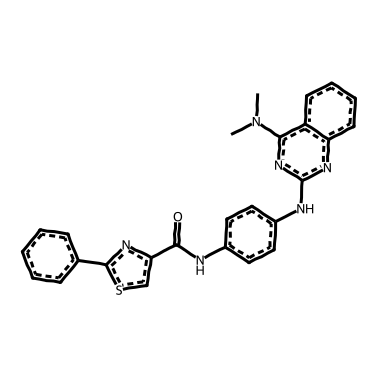 CN(C)c1nc(Nc2ccc(NC(=O)c3csc(-c4ccccc4)n3)cc2)nc2ccccc12